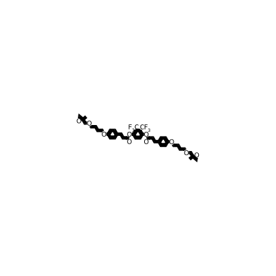 CC1(COCCCCOc2ccc(CCC(=O)Oc3ccc(OC(=O)CCc4ccc(OCCCCOCC5(C)CO5)cc4)c(C(F)(F)F)c3C(F)(F)F)cc2)CO1